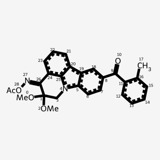 COC1(OC)Cn2c3ccc(C(=O)c4ccccc4C)cc3c3cccc(c32)/C1=N/OC(C)=O